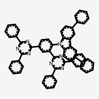 c1ccc(-c2ccc3c(c2)c2cc(-c4ccccc4)ccc2n3-c2ccc(-c3nc(-c4ccccc4)nc(-c4ccccc4)n3)cc2-c2nc(-c3ccccc3)nc(-c3ccccc3)n2)cc1